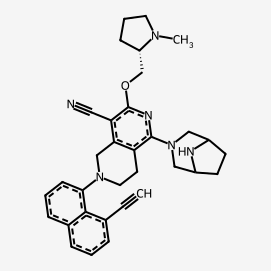 C#Cc1cccc2cccc(N3CCc4c(N5CC6CCC(C5)N6)nc(OC[C@@H]5CCCN5C)c(C#N)c4C3)c12